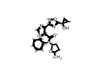 CC1CCC(n2c(=O)c3c(-c4noc(C5(O)CC5)n4)ncn3c3ccccc32)O1